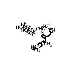 CN(Cc1ccc2cc1CCc1cncc(c1)Nc1ncc(Cl)c(n1)N2)CC1CCN(C(=O)c2ccno2)CC1.O=C(O)C(F)(F)F.O=C(O)C(F)(F)F.O=C(O)C(F)(F)F